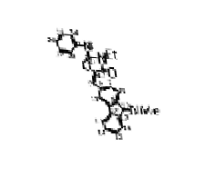 CCN1C(=O)/C(=C\c2ccc3c(c2)-c2ccccc2C3NC)OC1=Nc1ccccc1